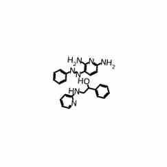 Nc1ccc(/N=N/c2ccccc2)c(N)n1.OC(CNc1ccccn1)c1ccccc1